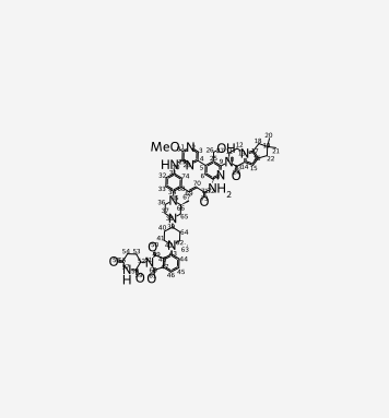 COc1ncc(-c2ccnc(N3CCn4c(cc5c4CC(C)(C)C5)C3=O)c2CO)nc1Nc1ccc(N2CCN(C3CCN(c4cccc5c4C(=O)N(C4CCC(=O)NC4=O)C5=O)[C@@H](C)C3)C[C@@H]2C)c(C=CC(N)=O)c1